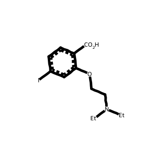 CCN(CC)CCOc1cc(I)ccc1C(=O)O